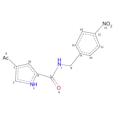 CC(=O)c1c[nH]c(C(=O)NCc2ccc([N+](=O)[O-])cc2)c1